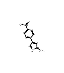 Cn1cc(-c2ccc(C(=O)Cl)cc2)cn1